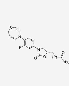 CC(C)(C)C(=O)NC[C@H]1CN(c2ccc(N3C=CCSC=C3)c(F)c2)C(=O)O1